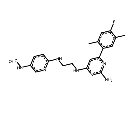 Cc1cc(-c2cc(NCCNc3ccc(NC=O)cn3)nc(N)n2)c(C)cc1F